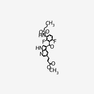 CCCS(=O)(=O)Nc1ccc(F)c(C(=O)c2c[nH]c3ncc(C=CC(=O)OC)cc23)c1F